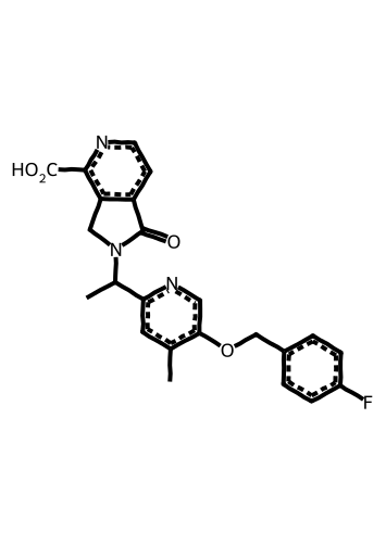 Cc1cc(C(C)N2Cc3c(ccnc3C(=O)O)C2=O)ncc1OCc1ccc(F)cc1